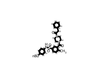 CCCCc1ccc(NS(=O)(=O)c2ccc(C)c(C(=O)N3CCN(C(=O)Cc4ccccc4)CC3)c2)cc1